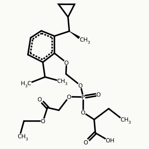 CCOC(=O)COP(=O)(OCOc1c(C(C)C)cccc1[C@H](C)C1CC1)OC(CC)C(=O)O